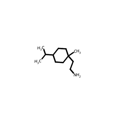 CC(C)C1CCC(C)(CCN)CC1